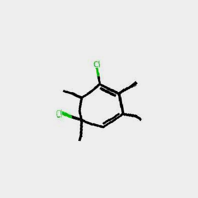 CC1=CC(C)(Cl)C(C)C(Cl)=C1C